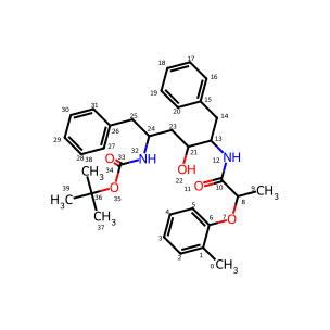 Cc1ccccc1OC(C)C(=O)NC(Cc1ccccc1)C(O)CC(Cc1ccccc1)NC(=O)OC(C)(C)C